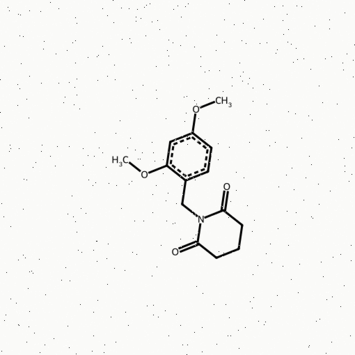 COc1ccc(CN2C(=O)CCCC2=O)c(OC)c1